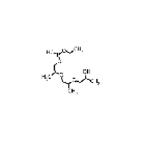 CCOP(O)OCC(C)OCC(C)OCC(C)O